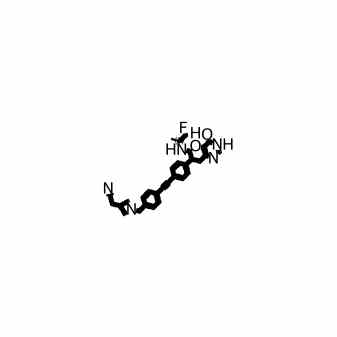 C[C@@H](CF)NCC(Cc1nc[nH]c(=O)c1O)c1ccc(C#Cc2ccc(CN3CC(CC#N)C3)cc2)cc1